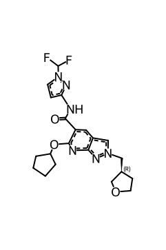 O=C(Nc1ccn(C(F)F)n1)c1cc2cn(C[C@H]3CCOC3)nc2nc1OC1CCCC1